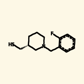 Fc1ccccc1CN1CCC[C@@H](CS)C1